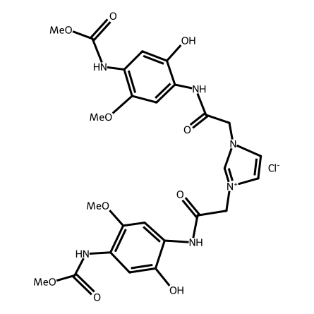 COC(=O)Nc1cc(O)c(NC(=O)Cn2cc[n+](CC(=O)Nc3cc(OC)c(NC(=O)OC)cc3O)c2)cc1OC.[Cl-]